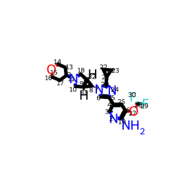 Nc1ncc(-c2cn([C@@H]3[C@@H]4CN(C5CCOCC5)C[C@@H]43)c(C3CC3)n2)cc1OC(F)F